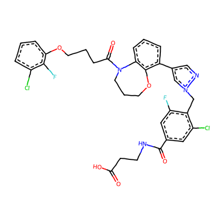 O=C(O)CCNC(=O)c1cc(F)c(Cn2cc(-c3cccc4c3OCCCN4C(=O)CCCOc3cccc(Cl)c3F)cn2)c(Cl)c1